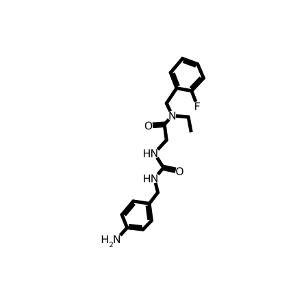 CCN(Cc1ccccc1F)C(=O)CNC(=O)NCc1ccc(N)cc1